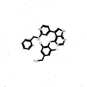 NCc1cc(F)c(Oc2ncnc3[nH]cc(-c4ccnc(NCc5ccccc5)c4)c23)c(F)c1